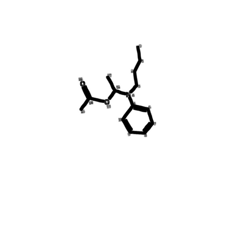 CCCCN(c1ccccc1)C(C)OC(C)=O